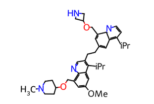 COc1cc(COC2CCN(C)CC2)c2ncc(CCc3cc(COC4CNC4)c4nccc(C(C)C)c4c3)c(C(C)C)c2c1